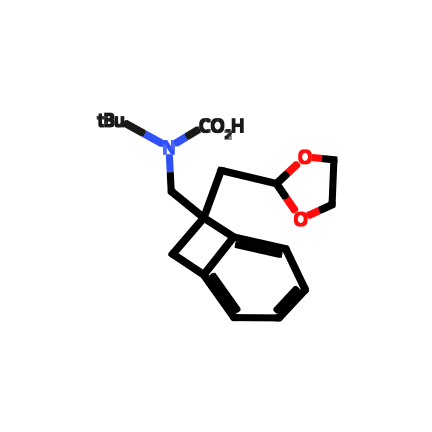 CC(C)(C)N(CC1(CC2OCCO2)Cc2ccccc21)C(=O)O